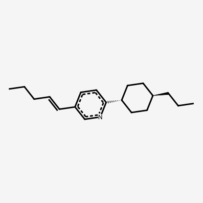 CCC/C=C/c1ccc([C@H]2CC[C@H](CCC)CC2)nc1